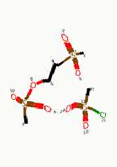 CS(=O)(=O)CCOS(C)(=O)=O.CS(=O)(=O)Cl